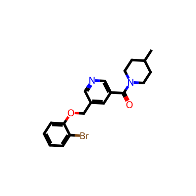 CC1CCN(C(=O)c2cncc(COc3ccccc3Br)c2)CC1